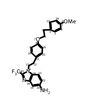 COc1ccc(CCOc2ccc(CCn3c(C(F)(F)F)nc4cc(N)ccc43)cc2)cc1